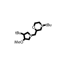 COC1CN(CC2CN(C(C)(C)C)CCO2)CC1C(C)(C)C